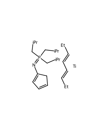 CC(C)CP(CC(C)C)(CC(C)C)=NC1=CC=CC1.CCC=CC=CCC.[Ti]